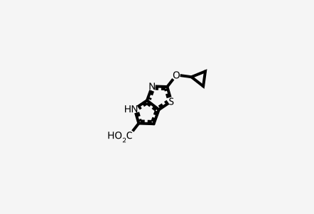 O=C(O)c1cc2sc(OC3CC3)nc2[nH]1